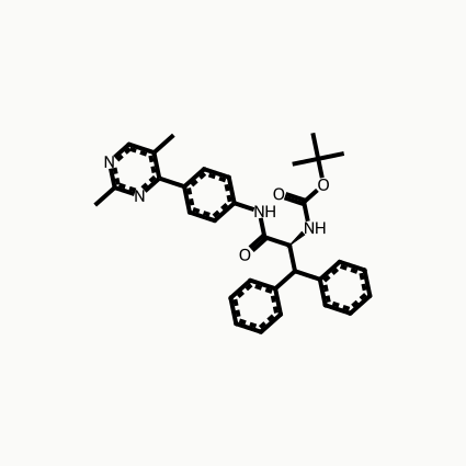 Cc1ncc(C)c(-c2ccc(NC(=O)[C@@H](NC(=O)OC(C)(C)C)C(c3ccccc3)c3ccccc3)cc2)n1